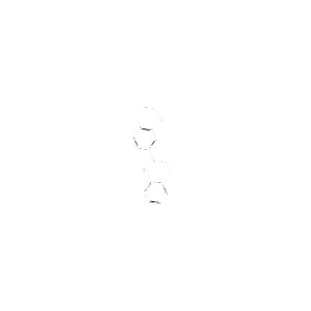 c1ccc2c(c1)NCC(c1ccc3c(c1)NCCO3)N2